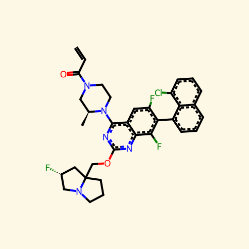 C=CC(=O)N1CCN(c2nc(OCC34CCCN3C[C@H](F)C4)nc3c(F)c(-c4cccc5cccc(Cl)c45)c(F)cc23)[C@@H](C)C1